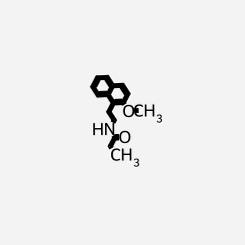 CCC(=O)NCCc1c(OC)ccc2ccccc12